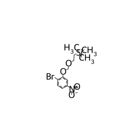 C[Si](C)(C)CCOCOc1cc([N+](=O)[O-])ccc1Br